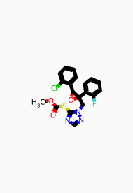 COC(=O)Sc1ncnn1CC1(c2ccccc2F)OC1c1ccccc1Cl